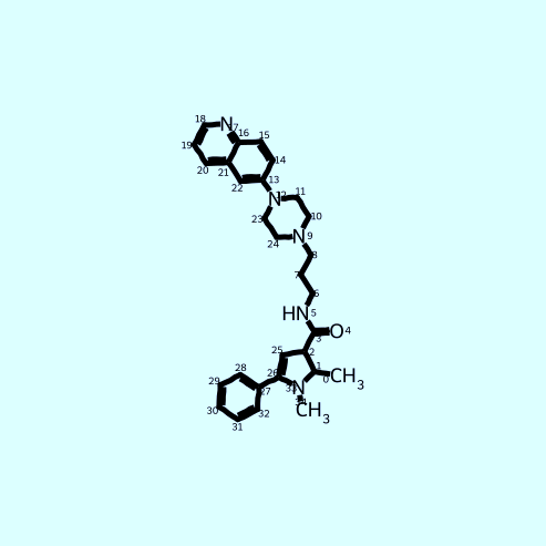 CC1C(C(=O)NCCCN2CCN(c3ccc4ncccc4c3)CC2)C=C(c2ccccc2)N1C